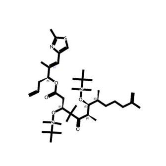 C=CC[C@H](OC(=O)C[C@H](O[Si](C)(C)C(C)(C)C)C(C)(C)C(=O)[C@H](C)[C@@H](O[Si](C)(C)C(C)(C)C)[C@@H](C)CCCC(=C)C)/C(C)=C/c1csc(C)n1